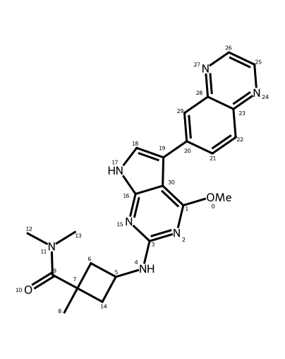 COc1nc(NC2CC(C)(C(=O)N(C)C)C2)nc2[nH]cc(-c3ccc4nccnc4c3)c12